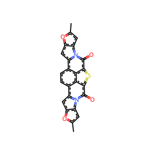 Cc1cc2c(cc3c4ccc5c6c(sc(c(=O)n23)c46)c(=O)n2c3cc(C)oc3cc52)o1